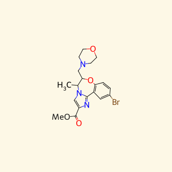 COC(=O)c1cn2c(n1)-c1cc(Br)ccc1OC(CN1CCOCC1)C2C